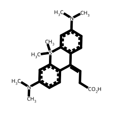 CN(C)c1ccc2c(c1)S(C)(C)c1cc(N(C)C)ccc1C2=CCC(=O)O